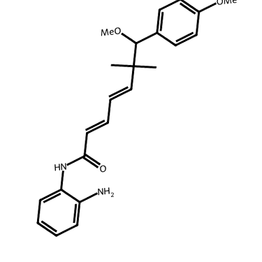 COc1ccc(C(OC)C(C)(C)/C=C/C=C/C(=O)Nc2ccccc2N)cc1